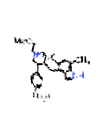 COCCN1CCC(Cc2c(C)cc(C)c3[nH]ccc23)C(c2ccc(C(=O)O)cc2)C1